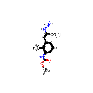 Cc1c(/C=C(/N=[N+]=[N-])C(=O)O)cccc1NC(=O)OC(C)(C)C